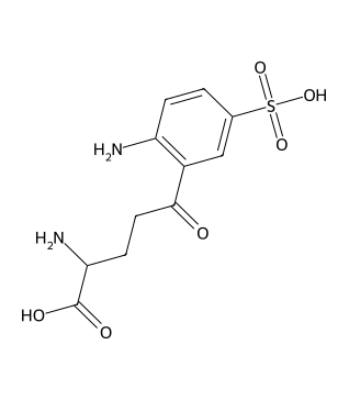 Nc1ccc(S(=O)(=O)O)cc1C(=O)CCC(N)C(=O)O